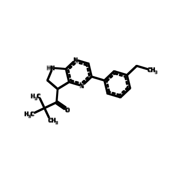 CCc1cccc(-c2cnc3c(n2)C(C(=O)C(C)(C)C)CN3)c1